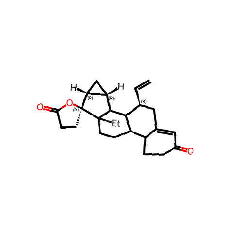 C=C[C@H]1CC2=CC(=O)CCC2C2CCC3(CC)C(C21)[C@H]1C[C@H]1[C@@]31CCC(=O)O1